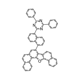 c1ccc(-c2nc(-c3ccccc3)nc(-c3cccc4c(-c5cc6ccc7ccccc7c6c6oc7c8ccccc8ccc7c56)cccc34)n2)cc1